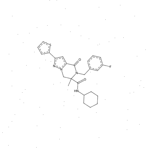 CC1(C(=O)NC2CCCCC2)Cn2nc(-c3cccs3)cc2C(=O)N1Cc1cccc(F)c1